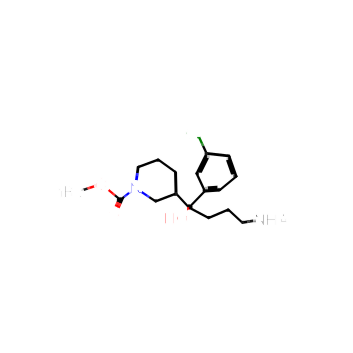 CCCCOC(=O)N1CCCC([C@@](O)(CCCNC(C)=O)c2cccc(Cl)c2)C1